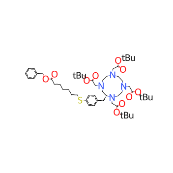 CC(C)(C)OC(=O)CN1CCN(CC(=O)OC(C)(C)C)CCN(CC(=O)OC(C)(C)C)[C@@H](Cc2ccc(SCCCCCCC(=O)OCc3ccccc3)cc2)CN(CC(=O)OC(C)(C)C)CC1